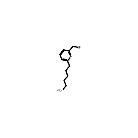 CCCCCCCCCCCCCCc1cccc(CC(C)C)n1